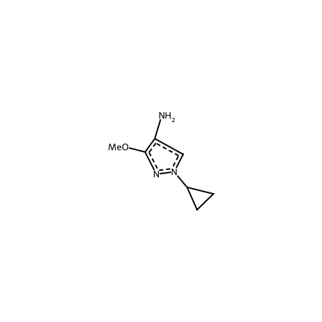 COc1nn(C2CC2)cc1N